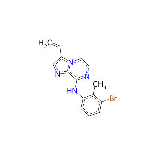 C=Cc1cnc2c(Nc3cccc(Br)c3C)nccn12